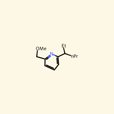 CCCC(CC)c1cccc(COC)n1